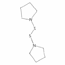 C1CCN(SSN2CCCC2)C1